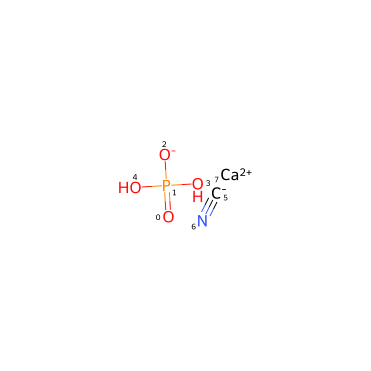 O=P([O-])(O)O.[C-]#N.[Ca+2]